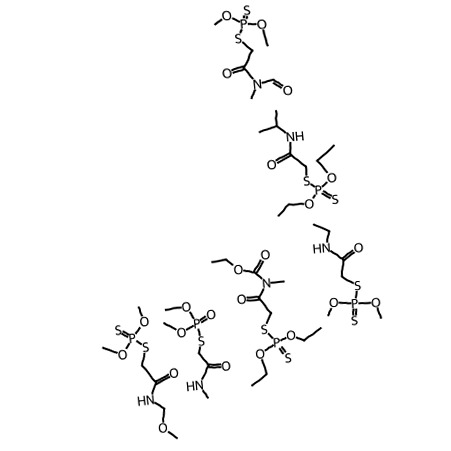 CCNC(=O)CSP(=S)(OC)OC.CCOC(=O)N(C)C(=O)CSP(=S)(OCC)OCC.CCOP(=S)(OCC)SCC(=O)NC(C)C.CNC(=O)CSP(=O)(OC)OC.COCNC(=O)CSP(=S)(OC)OC.COP(=S)(OC)SCC(=O)N(C)C=O